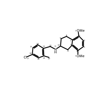 COc1ccc(OC)c2c1CCC(NCc1ccc(Cl)cc1C)C2